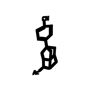 CC(=O)C1C2CC3CC1CC(c1ccc(C#N)cc1)(C3)C2